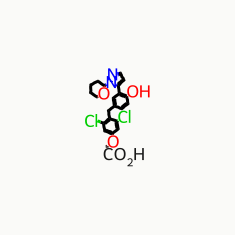 O=C(O)COc1cc(Cl)c(Cc2ccc(O)c(-c3ccnn3C3CCCCO3)c2)c(Cl)c1